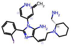 C=C/C=C(\C=C/N)n1c(-c2ccccc2I)nc(/C=C\CN2CCCC[C@H]2CN)c1N